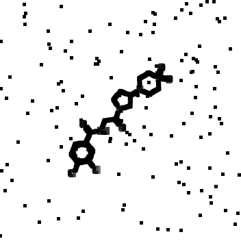 O=C(NCC(=O)N1CCC(N2CCS(=O)(=O)CC2)C1)c1ccc(Cl)c(Cl)c1